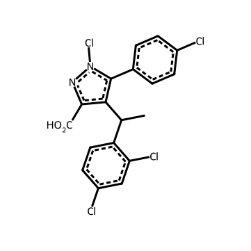 CC(c1ccc(Cl)cc1Cl)c1c(C(=O)O)nn(Cl)c1-c1ccc(Cl)cc1